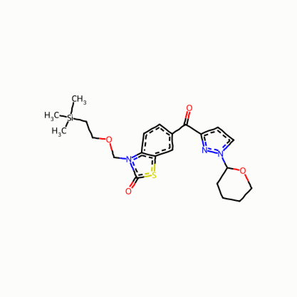 C[Si](C)(C)CCOCn1c(=O)sc2cc(C(=O)c3ccn(C4CCCCO4)n3)ccc21